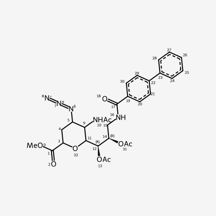 COC(=O)C1CC(N=[N+]=[N-])C(NC(C)=O)C([C@H](OC(C)=O)[C@@H](CNC(=O)c2ccc(-c3ccccc3)cc2)OC(C)=O)O1